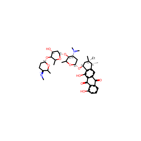 CC[C@@]1(C)C[C@H](O[C@H]2C[C@@H](N(C)C)[C@H](O[C@H]3C[C@@H](O)C(O[C@H]4CC/C(=N/C)C(C)O4)C(C)O3)C(C)O2)c2c(cc3c(c2O)C(=O)c2c(O)cccc2C3=O)[C@H]1C